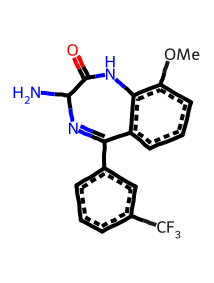 COc1cccc2c1NC(=O)C(N)N=C2c1cccc(C(F)(F)F)c1